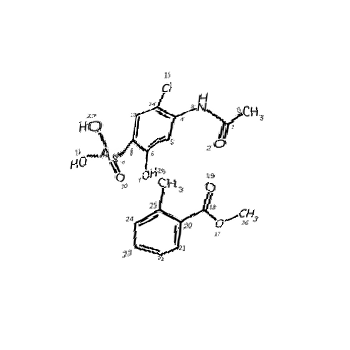 CC(=O)Nc1cc(O)c([As](=O)(O)O)cc1Cl.COC(=O)c1ccccc1C